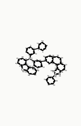 c1ccc(-c2cccc(N(c3cccc(-c4ccc5ccc6ccc7nn(-c8ccccc8)nc7c6c5c4)c3)c3cccc4oc5ccccc5c34)c2)cc1